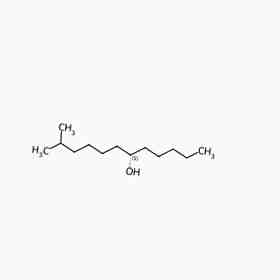 CCCCC[C@H](O)CCCCC(C)C